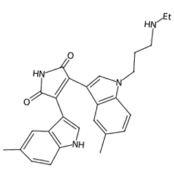 CCNCCCn1cc(C2=C(c3c[nH]c4ccc(C)cc34)C(=O)NC2=O)c2cc(C)ccc21